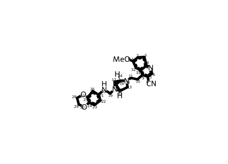 COc1ccc2ncc(C#N)c(CCN3C[C@@H]4C[C@H]3CN4CNc3ccc4c(c3)OCCO4)c2c1